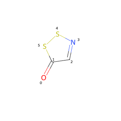 O=c1cnss1